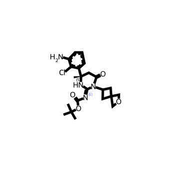 CC(C)(C)OC(=O)/N=C1\N[C@](C)(c2cccc(N)c2Cl)CC(=O)N1C1CC2(COC2)C1